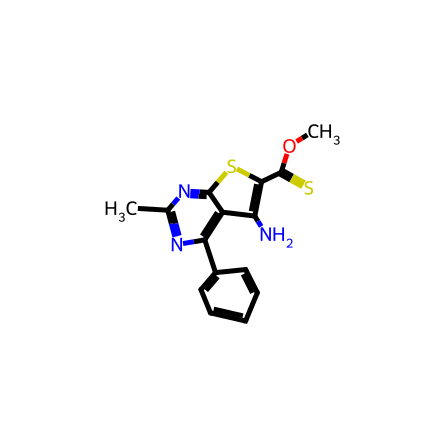 COC(=S)c1sc2nc(C)nc(-c3ccccc3)c2c1N